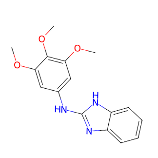 COc1cc(Nc2nc3ccccc3[nH]2)cc(OC)c1OC